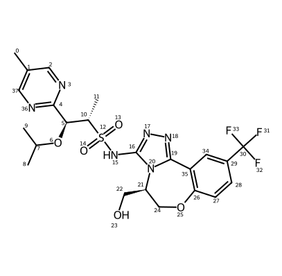 Cc1cnc([C@H](OC(C)C)[C@H](C)S(=O)(=O)Nc2nnc3n2[C@H](CO)COc2ccc(C(F)(F)F)cc2-3)nc1